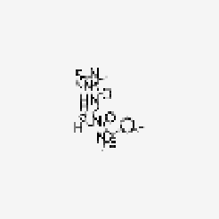 Cc1nc(C(=O)N2C[C@@H]3C[C@@H]3[C@H]2CNC(=O)c2c(C)nc3sccn23)c(-c2cccc(F)c2)s1